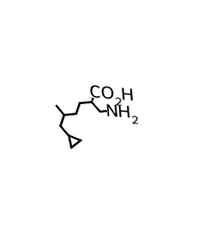 CC(CC[C@H](CN)C(=O)O)CC1CC1